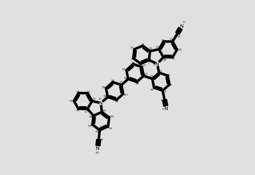 N#Cc1ccc(-n2c3ccccc3c3cc(C#N)ccc32)c(-c2cccc(-c3ccc(-n4c5ccccc5c5cc(C#N)ccc54)cc3)c2)c1